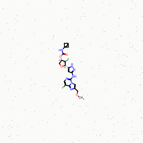 COCc1cn2c(Nc3cc([C@@H]4OC[C@H](OC(=O)NC56CC(C5)C6)[C@H]4F)[nH]n3)ncc(F)c2n1